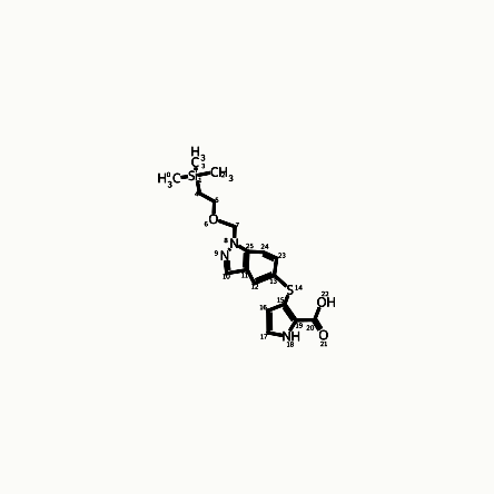 C[Si](C)(C)CCOCn1ncc2cc(Sc3cc[nH]c3C(=O)O)ccc21